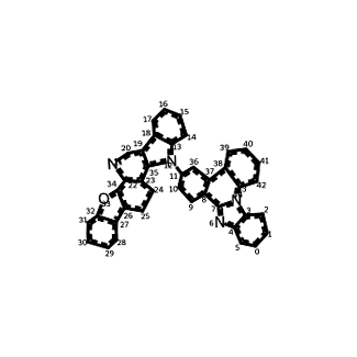 c1ccc2c(c1)nc1c3ccc(-n4c5ccccc5c5cnc6c(ccc7c8ccccc8oc76)c54)cc3c3ccccc3n21